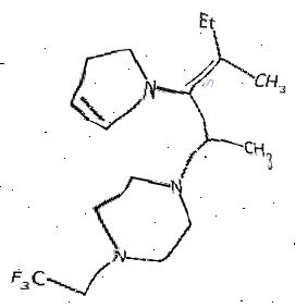 CC/C(C)=C(/C(C)N1CCN(CC(F)(F)F)CC1)N1C=CCC1